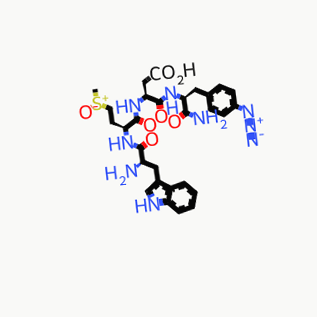 C[S+]([O-])CC[C@H](NC(=O)[C@H](N)Cc1c[nH]c2ccccc12)C(=O)N[C@@H](CC(=O)O)C(=O)N[C@@H](Cc1ccc(N=[N+]=[N-])cc1)C(N)=O